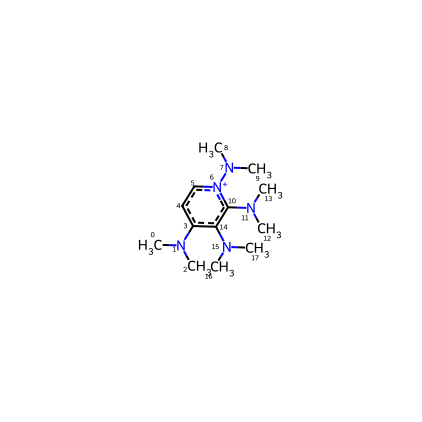 CN(C)c1cc[n+](N(C)C)c(N(C)C)c1N(C)C